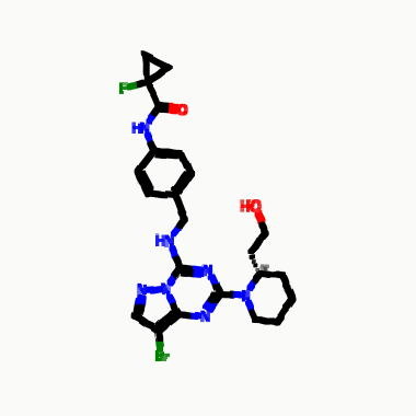 O=C(Nc1ccc(CNc2nc(N3CCCC[C@H]3CCO)nc3c(Br)cnn23)cc1)C1(F)CC1